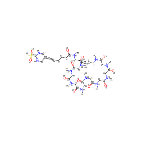 CN(CC(=O)O)C(=O)CN(C)C(=O)CN(C)C(=O)CN(C)C(=O)CN(C)C(=O)CN(C)C(=O)CN(C)C(=O)CN(C)C(=O)CN(C)C(=O)CN(C)C(=O)CCCC#Cc1cnc(S(C)(=O)=O)nc1